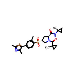 Cc1nc(C)c(-c2ccc(S(=O)(=O)[C@@H]3C[C@@H](C(=O)NC4(C#N)CC4)N(C(=O)C4(C(F)(F)F)CC4)C3)c(C)c2)s1